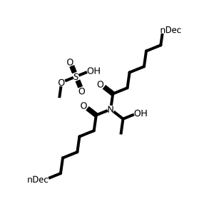 CCCCCCCCCCCCCCCC(=O)N(C(=O)CCCCCCCCCCCCCCC)C(C)O.COS(=O)(=O)O